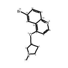 CN1CCC(Oc2ccnc3ccc(Br)cc23)C1